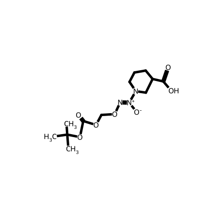 CC(C)(C)OC(=O)OCO/N=[N+](\[O-])N1CCCC(C(=O)O)C1